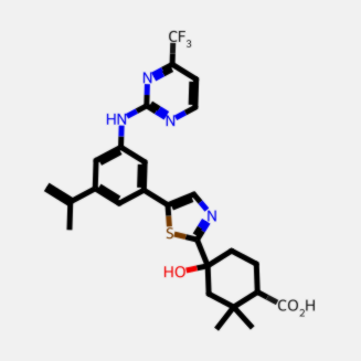 C=C(C)c1cc(Nc2nccc(C(F)(F)F)n2)cc(-c2cnc(C3(O)CCC(C(=O)O)C(C)(C)C3)s2)c1